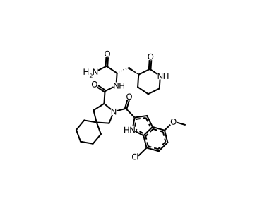 COc1ccc(Cl)c2[nH]c(C(=O)N3CC4(CCCCC4)CC3C(=O)N[C@@H](C[C@@H]3CCCNC3=O)C(N)=O)cc12